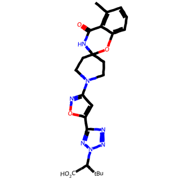 Cc1cccc2c1C(=O)NC1(CCN(c3cc(-c4nnn(C(C(=O)O)C(C)(C)C)n4)on3)CC1)O2